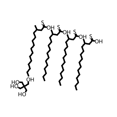 CCCCCCCCCCCCC(C)CC(O)=S.CCCCCCCCCCCCC(C)CC(O)=S.CCCCCCCCCCCCC(C)CC(O)=S.CCCCCCCCCCCCC(C)CC(O)=S.OCC(CO)(CO)CO